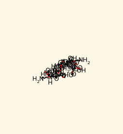 CC(C)C[C@H](NC(=O)[C@H](C)NC(=O)[C@@H](NC(=O)[C@@H](NC(=O)[C@H](C)NC(=O)[C@H](CO)NC(=O)[C@H](CCCCN)NC(=O)[C@H](CCC(=O)O)NC(=O)[C@@H](N)CCC(=O)O)C(C)C)[C@@H](C)O)C(=O)N[C@@H](Cc1c[nH]c2ccccc12)C(=O)NCC(=O)N[C@@H](CCCCN)C(=O)N[C@H](C(=O)O)C(C)C